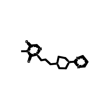 Cn1c(=O)cnn(CCCN2CCN(c3ncccn3)CC2)c1=O